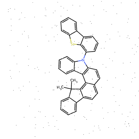 CC1(C)c2ccccc2-c2ccc3ccc4c(c5ccccc5n4-c4cccc5c4sc4ccccc45)c3c21